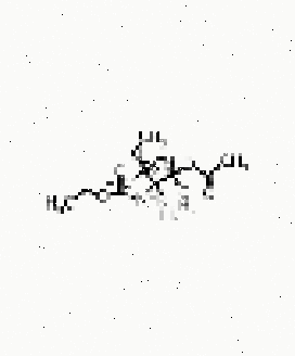 CCOC(=O)NC(C)(C(C)(C)OC)C(C)(C)OC(C)=O